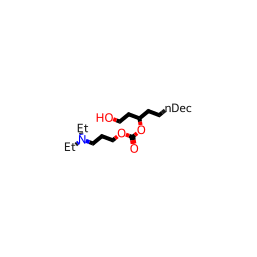 CCCCCCCCCCCCC(CCO)OC(=O)OCCCN(CC)CC